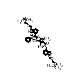 CN1C2=C(CNN(Cc3cccc4c3cnn4COCC[Si](C)(C)C)C2=O)C2SC(C(c3cccc4c3cnn4COCC[Si](C)(C)C)S(=O)(=O)c3ccccc3)=NC21